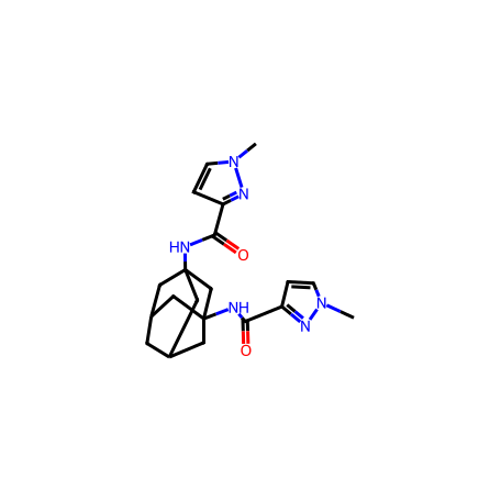 Cn1ccc(C(=O)NC23CC4CC(C2)CC(NC(=O)c2ccn(C)n2)(C4)C3)n1